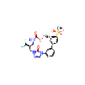 CC(C)(C)OC(=O)NCC(Cn1ncn(-c2cccc(-c3ccc(S(C)(=O)=O)cc3)c2)c1=O)=C(F)F